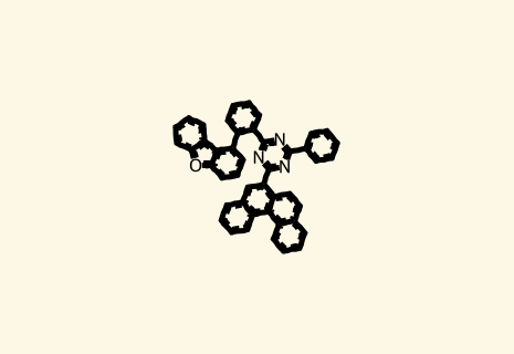 c1ccc(-c2nc(-c3ccccc3-c3cccc4oc5ccccc5c34)nc(-c3cc4ccccc4c4c3ccc3ccccc34)n2)cc1